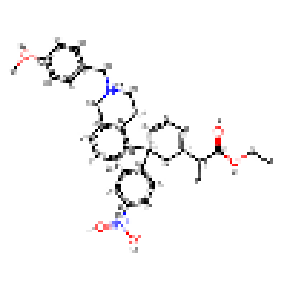 CCOC(=O)C(C)C1=CC=CC(c2ccc([N+](=O)[O-])cc2)(c2cccc3c2CCN(Cc2ccc(OC)cc2)C3)C1